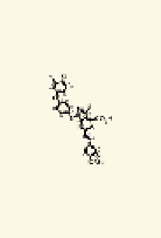 COc1ccc(/C=C/c2cc(C(=O)O)c3c(C)nn(Cc4ccc(Oc5cc(C)c(Cl)c(C)c5)cc4)c3n2)cc1C